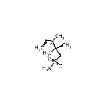 C=C[C@@H](C)C(C)(C)CS(N)(=O)=O